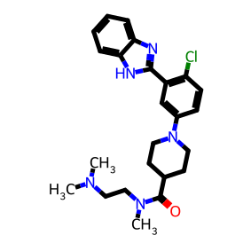 CN(C)CCN(C)C(=O)C1CCN(c2ccc(Cl)c(-c3nc4ccccc4[nH]3)c2)CC1